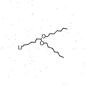 [Li][CH2]CCCCC(OCCCCCCC)OCCCCCCC